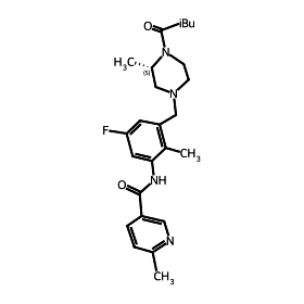 CCC(C)C(=O)N1CCN(Cc2cc(F)cc(NC(=O)c3ccc(C)nc3)c2C)C[C@@H]1C